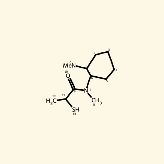 CNC1CCCCC1N(C)C(=O)C(C)S